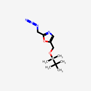 CC(C)(C)[Si](C)(C)OCc1cnc(CN=[N+]=[N-])o1